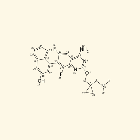 CN(C)CC1(COc2nc(N)c3cc(F)c(-c4cc(O)cc5ccccc45)c(F)c3n2)CC1